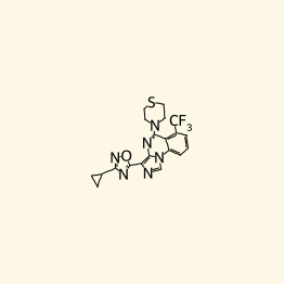 FC(F)(F)c1cccc2c1c(N1CCSCC1)nc1c(-c3nc(C4CC4)no3)ncn12